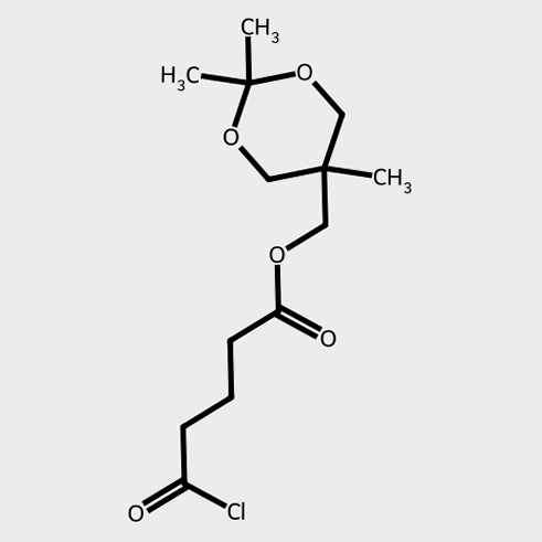 CC1(COC(=O)CCCC(=O)Cl)COC(C)(C)OC1